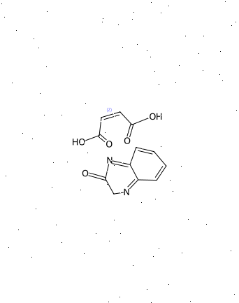 O=C(O)/C=C\C(=O)O.O=C1CN=c2ccccc2=N1